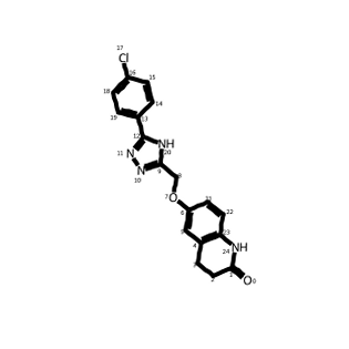 O=C1CCc2cc(OCc3nnc(-c4ccc(Cl)cc4)[nH]3)ccc2N1